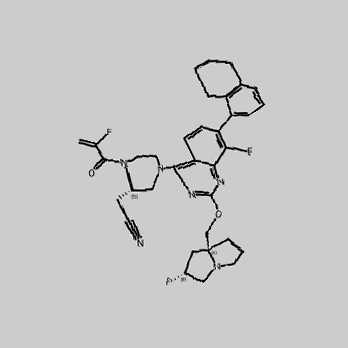 C=C(F)C(=O)N1CCN(c2nc(OC[C@@]34CCCN3C[C@H](F)C4)nc3c(F)c(-c4cccc5c4CCCC5)ccc23)C[C@@H]1CC#N